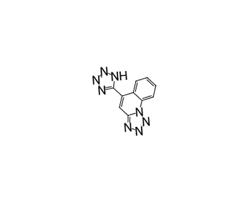 c1ccc2c(c1)c(-c1nnn[nH]1)cc1nnnn12